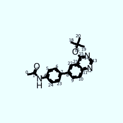 CC(=O)Nc1ccc(-c2ccc3ncnc(OC(C)(C)C)c3c2)cc1